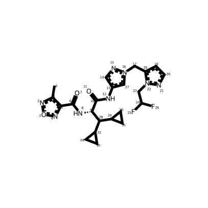 Cc1nonc1C(=O)N[C@H](C(=O)Nc1cnn(Cc2ccnn2CC(F)F)c1)C(C1CC1)C1CC1